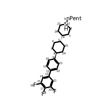 CCCCC[SiH]1CCC([C@H]2CC[C@H](c3ccc(-c4cc(F)c(F)c(F)c4)cc3)CC2)CC1